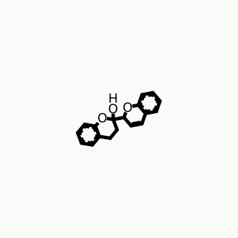 OC1(C2C=Cc3ccccc3O2)CCc2ccccc2O1